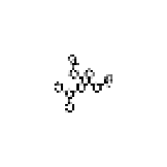 c1ccc(-c2cc(-c3ccccc3)cc(-c3ccc4c(-c5cccc(-c6cocn6)c5)c5ccccc5c(-c5cccc(-c6cocn6)c5)c4c3)c2)cc1